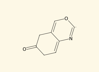 O=C1CC=C2N=[C]OC=C2C1